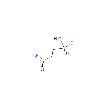 CC[C@@H](N)CCC(C)(C)O